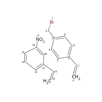 C=Cc1ccc(CBr)cc1.C=Cc1cccc([N+](=O)[O-])c1